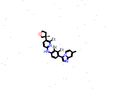 CCc1nc(Nc2ccc(-c3cnc4cc(C)ccn34)c(CC)c2C(C)=O)ccc1[C@@]1(C)CCOC1